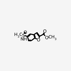 COC(=O)c1cc2cc(S(C)(=N)=O)ccc2o1